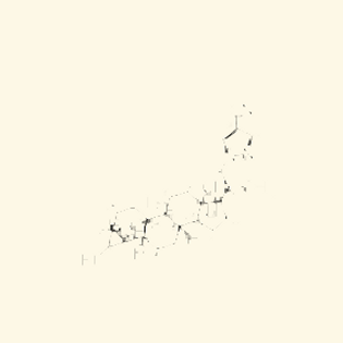 CCC1C2[C@H]3CC[C@@H]4[C@H](CC[C@]5(C)[C@@H]([C@@H](C)Cn6cc(C#N)cn6)CC[C@@H]45)[C@@]3(C)CC[C@]12O